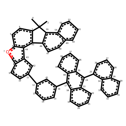 CC1(C)c2ccc3oc4ccc(-c5cccc(-c6c7ccccc7c(-c7cccc8ccccc78)c7ccccc67)c5)cc4c3c2-c2ccc3ccccc3c21